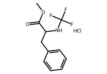 COC(=O)C(Cc1ccccc1)NC(F)(F)F.Cl